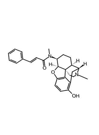 CN1CC[C@@]23c4c5ccc(O)c4C[C@@H]1[C@@H]2CC[C@H](N(C)C(=O)C=Cc1ccccc1)[C@@H]3O5